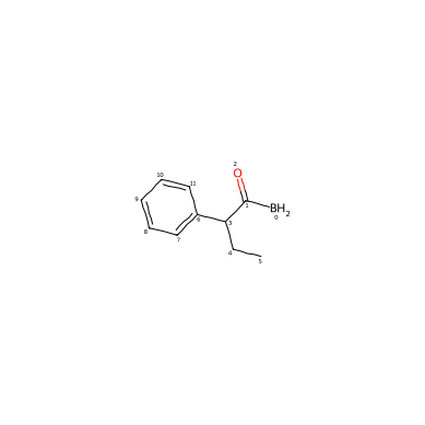 BC(=O)C(CC)c1ccccc1